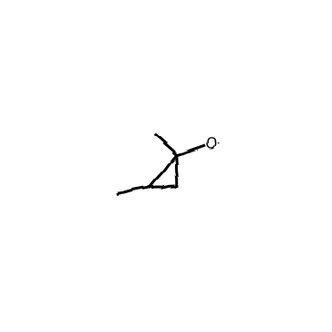 CC1CC1(C)[O]